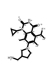 Cc1c(N2CCC(CN)C2)c(F)c(C(F)F)c2c(=O)[nH]c(=O)n(C3CC3)c12